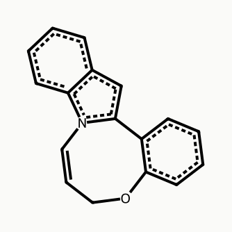 C1=Cn2c(cc3ccccc32)-c2ccccc2OC1